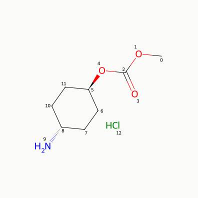 COC(=O)O[C@H]1CC[C@H](N)CC1.Cl